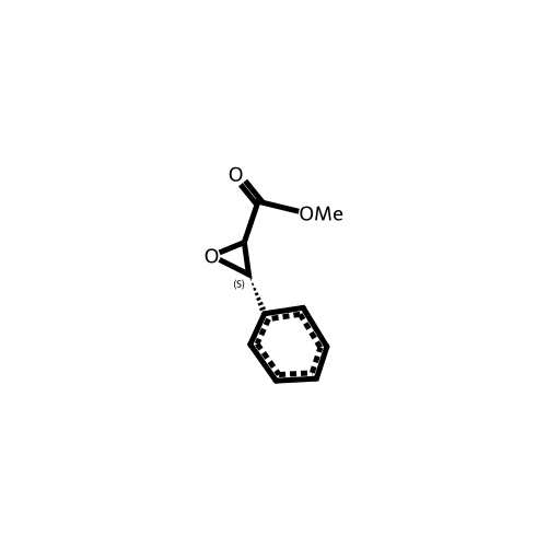 COC(=O)C1O[C@H]1c1ccccc1